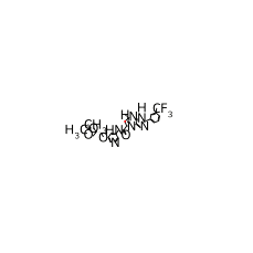 CC1(C)OC[C@@H](COc2cncc(NC(=O)C3C[C@H]4CN3C3=CN=C(c5cccc(C(F)(F)F)c5)NC3=N4)c2)O1